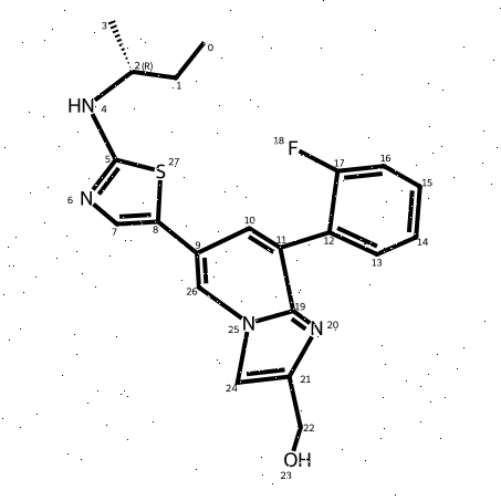 CC[C@@H](C)Nc1ncc(-c2cc(-c3ccccc3F)c3nc(CO)cn3c2)s1